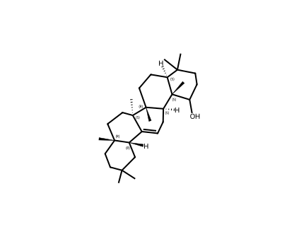 CC1(C)CC[C@]2(C)CC[C@]3(C)C(=CC[C@@H]4[C@@]5(C)C(O)CCC(C)(C)[C@@H]5CC[C@]43C)[C@@H]2C1